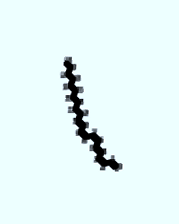 [CH]=C\C=C/C=C/C=C\C=C/C=C/CCCCCCCCCC